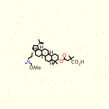 C=C(C)[C@@H]1CC[C@]2(CCCN(C)COC)CC[C@]3(C)[C@H](CC[C@@H]4[C@@]5(C)CC[C@H](OC(=O)CC(C)(C)C(=O)O)C(C)(C)[C@@H]5CC[C@]43C)[C@@H]12